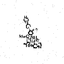 C=Cc1cnc(Nc2cc(C(C)C)c(N3CCC(N4CCN(C)CC4)CC3)cc2OC)nc1Nc1ccc2nccnc2c1CC(C)C